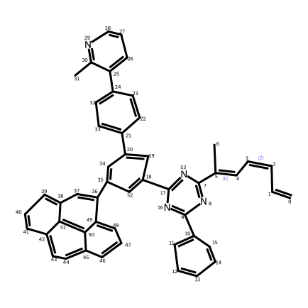 C=C/C=C\C=C(/C)c1nc(-c2ccccc2)nc(-c2cc(-c3ccc(-c4cccnc4C)cc3)cc(-c3cc4cccc5ccc6cccc3c6c54)c2)n1